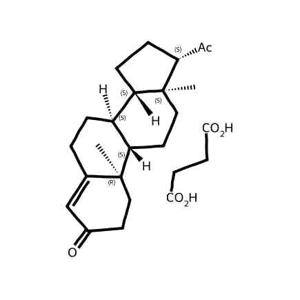 CC(=O)[C@H]1CC[C@H]2[C@@H]3CCC4=CC(=O)CC[C@]4(C)[C@H]3CC[C@]12C.O=C(O)CCC(=O)O